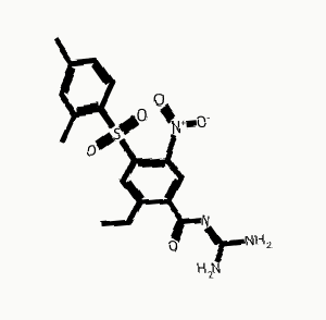 CCc1cc(S(=O)(=O)c2ccc(C)cc2C)c([N+](=O)[O-])cc1C(=O)N=C(N)N